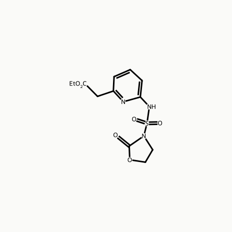 CCOC(=O)Cc1cccc(NS(=O)(=O)N2CCOC2=O)n1